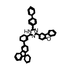 C1=CCC2C(=C1)C1(CCCCC1)c1ccc(C3C=C(C4=NC(c5ccc6oc7ccccc7c6c5)=NC(c5ccc(-c6ccccc6)cc5)N4)C=CC3)cc12